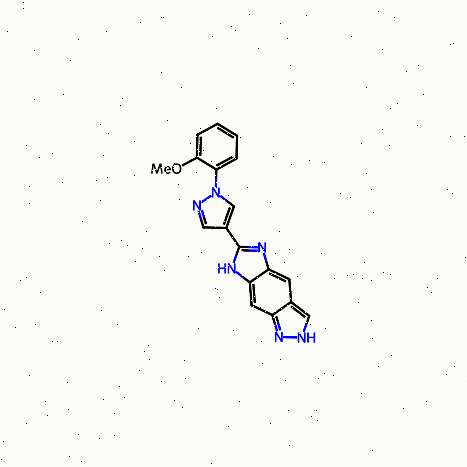 COc1ccccc1-n1cc(-c2nc3cc4c[nH]nc4cc3[nH]2)cn1